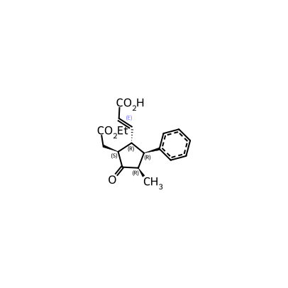 CCOC(=O)C[C@@H]1C(=O)[C@H](C)[C@H](c2ccccc2)[C@H]1/C=C/C(=O)O